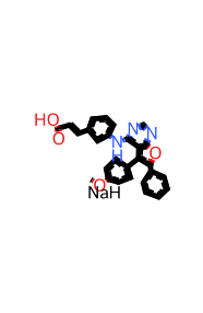 COc1ccc(-c2c(-c3ccccc3)oc3ncnc(Nc4cccc(C=CC(=O)O)c4)c23)cc1.[NaH]